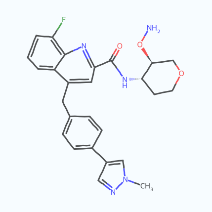 Cn1cc(-c2ccc(Cc3cc(C(=O)N[C@H]4CCOC[C@@H]4ON)nc4c(F)cccc34)cc2)cn1